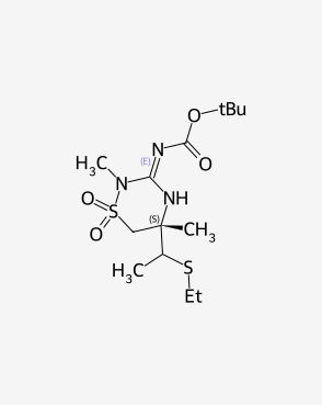 CCSC(C)[C@]1(C)CS(=O)(=O)N(C)/C(=N/C(=O)OC(C)(C)C)N1